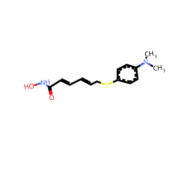 CN(C)c1ccc(SC/C=C/C=C/C(=O)NO)cc1